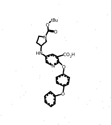 CC(C)(C)OC(=O)N1CCC(Nc2cnc(Oc3ccc(Oc4ccccc4)cc3)c(C(=O)O)c2)C1